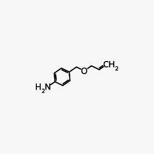 C=CCOCc1ccc(N)cc1